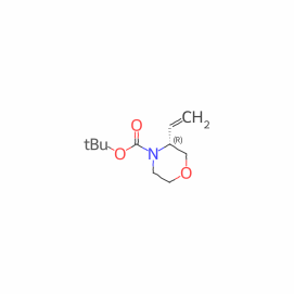 C=C[C@@H]1COCCN1C(=O)OC(C)(C)C